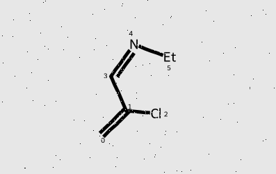 C=C(Cl)/C=N\CC